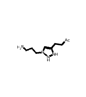 CC(=O)CCC1=CN(CCCN)NN1